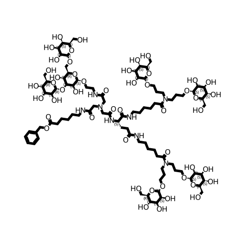 O=C(CC[C@H](NC(=O)CN(CC(=O)NCCCCCC(=O)OCc1ccccc1)CC(=O)NCCO[C@H]1O[C@H](CO[C@H]2O[C@H](CO)[C@@H](O)[C@H](O)[C@@H]2O)[C@@H](O)[C@H](O[C@H]2O[C@H](CO)[C@@H](O)[C@H](O)[C@@H]2O)[C@@H]1O)C(=O)NCCCCCC(=O)N(CCCO[C@H]1O[C@H](CO)[C@@H](O)[C@H](O)[C@@H]1O)CCCO[C@H]1O[C@H](CO)[C@@H](O)[C@H](O)[C@@H]1O)NCCCCCC(=O)N(CCCO[C@H]1O[C@H](CO)[C@@H](O)[C@H](O)[C@@H]1O)CCCO[C@H]1O[C@H](CO)[C@@H](O)[C@H](O)[C@@H]1O